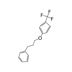 FC(F)(F)c1ccc(OCCCc2ccccc2)cc1